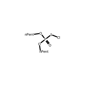 CCCCCOP(=O)(OCCCCC)SCl